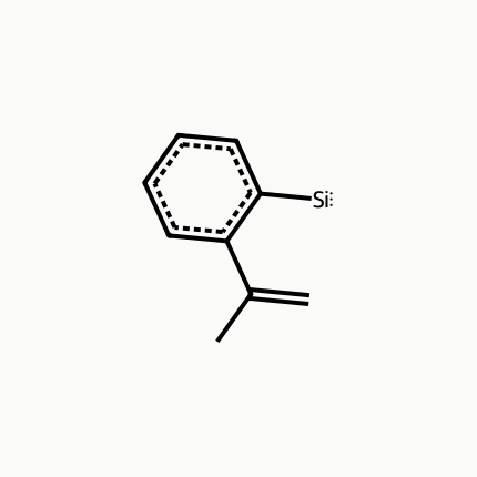 C=C(C)c1ccccc1[Si]